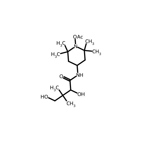 CC(=O)ON1C(C)(C)CC(NC(=O)C(O)C(C)(C)CO)CC1(C)C